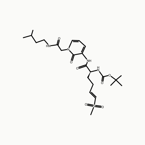 CC(C)CCNC(=O)Cn1cccc(NC(=O)[C@H](CCC=CS(C)(=O)=O)NC(=O)OC(C)(C)C)c1=O